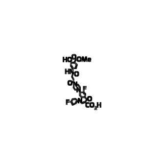 COC(=O)c1ccc(NC(=O)CCC(=O)N2CCN(c3cc4c(cc3F)c(=O)c(C(=O)O)cn4-c3ccc(F)cc3)CC2)cc1O